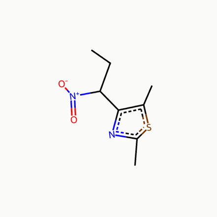 CCC(c1nc(C)sc1C)[N+](=O)[O-]